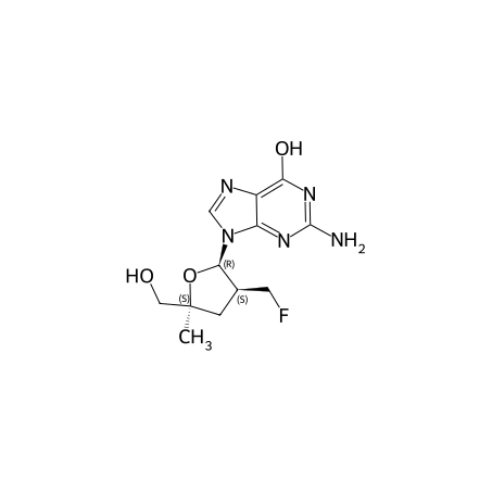 C[C@@]1(CO)C[C@H](CF)[C@H](n2cnc3c(O)nc(N)nc32)O1